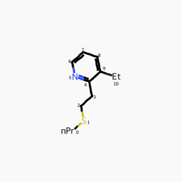 CCCSCCc1ncccc1CC